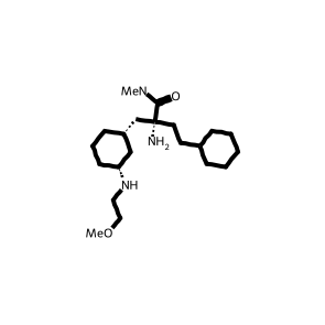 CNC(=O)[C@@](N)(CCC1CCCCC1)C[C@H]1CCC[C@@H](NCCOC)C1